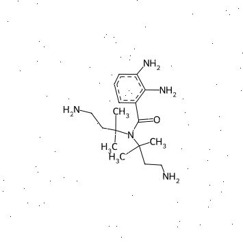 CC(C)(CCN)N(C(=O)c1cccc(N)c1N)C(C)(C)CCN